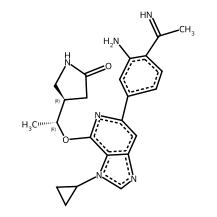 CC(=N)c1ccc(-c2cc3ncn(C4CC4)c3c(O[C@H](C)[C@H]3CNC(=O)C3)n2)cc1N